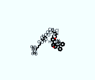 CCCCc1nc(Cl)c(C(=O)OC(C)OC(=O)O[C@@H]2CO[C@@H]3[C@@H]2OC[C@H]3OC(=O)CCCC(CO[N+](=O)[O-])O[N+](=O)[O-])n1Cc1ccc(-c2ccccc2-c2nnnn2C(c2ccccc2)(c2ccccc2)c2ccccc2)cc1